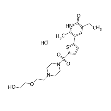 CCc1cc(-c2ccc(S(=O)(=O)N3CCN(CCOCCO)CC3)s2)c(C)[nH]c1=O.Cl